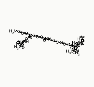 CN1C(=O)C[C@H](C(=O)NCCOCCC(=O)N(CCOCCOCCOCCN)CCOCCOCCOCCC(=O)NCCOCCOCCOCCOCCOCCOCCC(=O)N[C@@H]2C[C@H](NC(C)(C)C)CC[C@@H]2N2CC[C@H](Nc3ncnc4ccc(C(F)(F)F)cc34)C2=O)[C@H]1c1cccnc1